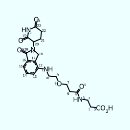 O=C(O)CCNC(=O)CCOCCNc1cccc2c1CN(C1CCC(=O)NC1=O)C2=O